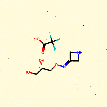 O=C(O)C(F)(F)F.OC[C@H](O)CON=C1CNC1